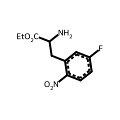 CCOC(=O)C(N)Cc1cc(F)ccc1[N+](=O)[O-]